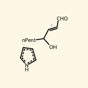 CCCCCC(O)/C=C/C=O.c1cc[nH]c1